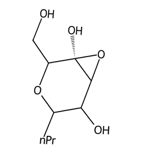 CCCC1OC(CO)[C@@]2(O)OC2C1O